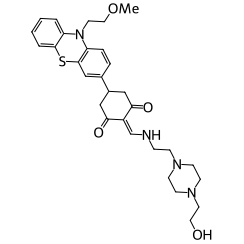 COCCN1c2ccccc2Sc2cc(C3CC(=O)C(=CNCCN4CCN(CCO)CC4)C(=O)C3)ccc21